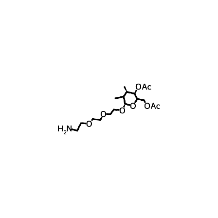 CC(=O)OCC1O[C@@H](OCCOCCOCCN)C(C)[C@@H](C)[C@H]1OC(C)=O